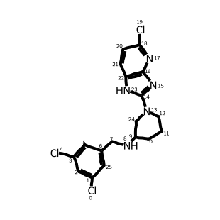 Clc1cc(Cl)cc(CNC2CCCN(c3nc4nc(Cl)ccc4[nH]3)C2)c1